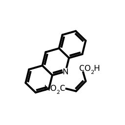 O=C(O)/C=C\C(=O)O.c1ccc2nc3ccccc3cc2c1